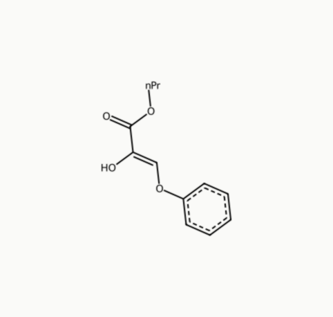 CCCOC(=O)C(O)=COc1ccccc1